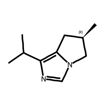 CC(C)c1ncn2c1C[C@@H](C)C2